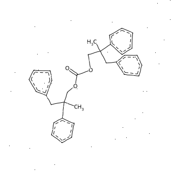 CC(COC(=O)OCC(C)(Cc1ccccc1)c1ccccc1)(Cc1ccccc1)c1ccccc1